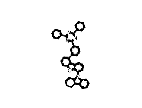 C1=Cc2c(c3ccccc3n2-c2cccc3c2oc2cccc(-c4cccc(-c5nc(-c6ccccc6)nc(-c6ccccc6)n5)c4)c23)CC1